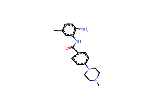 Cc1ccc(N)c(NC(=O)c2ccc(N3CCN(C)CC3)cc2)c1